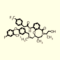 C[C@@H]1CN([C@@H](C)CO)C(=O)c2cccc(NC(=O)Cc3ccc(C(F)(F)F)cc3)c2O[C@@H]1CN(C)Cc1ccc(Oc2ccc(F)cc2C(F)(F)F)cc1